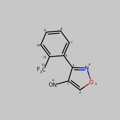 O=Nc1conc1-c1ccccc1C(F)(F)F